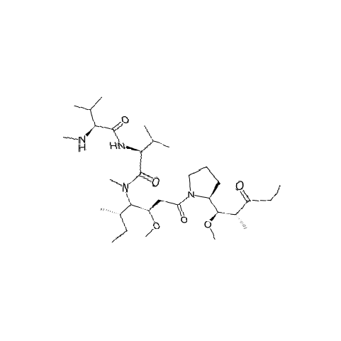 CCC(=O)[C@H](C)[C@@H](OC)[C@@H]1CCCN1C(=O)C[C@@H](OC)C([C@@H](C)CC)N(C)C(=O)[C@@H](NC(=O)[C@@H](NC)C(C)C)C(C)C